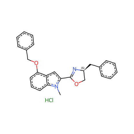 Cl.Cn1c(C2=N[C@@H](Cc3ccccc3)CO2)cc2c(OCc3ccccc3)cccc21